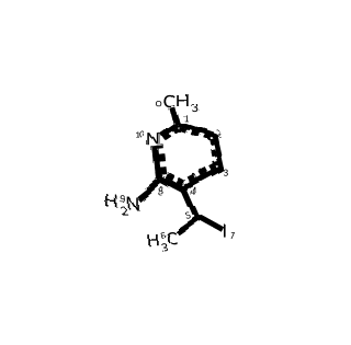 Cc1ccc(C(C)I)c(N)n1